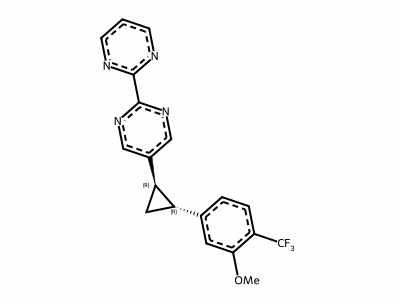 COc1cc([C@@H]2C[C@H]2c2cnc(-c3ncccn3)nc2)ccc1C(F)(F)F